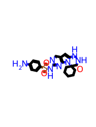 Nc1ccc(S(=O)(=O)Nc2ncc3cc4n(c3n2)C2(CCCCC2)C(=O)NN4)cc1